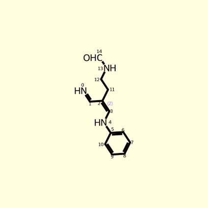 N=C/C(=C\Nc1ccccc1)CCNC=O